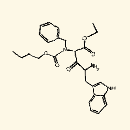 CCCCOC(=O)N(Cc1ccccc1)[C@@H](C(=O)OCC)C(=O)C(N)Cc1c[nH]c2ccccc12